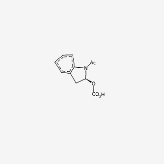 CC(=O)N1c2ccccc2C[C@@H]1OC(=O)O